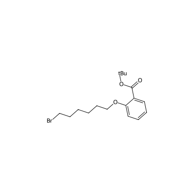 CC(C)(C)OC(=O)c1ccccc1OCCCCCCBr